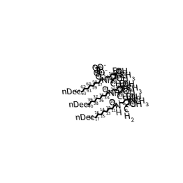 C=CCC(CC)(CCCNC(=O)CCCCCCCCCCCCCCCCC)[N+](C)(O)O.C=CCC(CC)(CCCNC(=O)CCCCCCCCCCCCCCCCC)[N+](C)(O)O.C=CCC(CC)(CCCNC(=O)CCCCCCCCCCCCCCCCC)[N+](C)(O)O.O=P([O-])([O-])[O-]